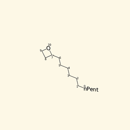 CCCCCCCCCCC[C]1CCO1